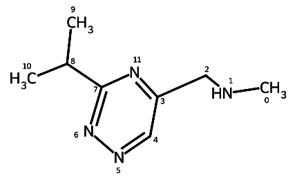 CNCc1cnnc(C(C)C)n1